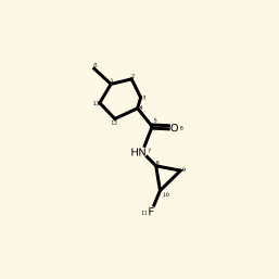 CC1CCC(C(=O)NC2CC2F)CC1